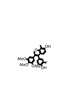 COc1cc(C2=C(c3ccc(O)c(F)c3)c3ccc(O)c(C)c3OC2)cc(OC)c1OC